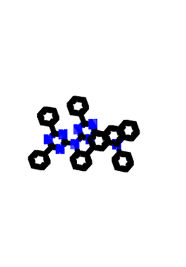 c1ccc(-c2nc(-c3ccccc3)nc(N(c3nc(-c4ccccc4)nc(-c4ccccc4)n3)c3ccccc3-c3cccc(N(c4ccccc4)c4ccccc4)c3)n2)cc1